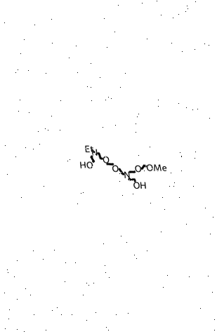 CCN(CCO)CCOCCOCCN(CCO)CCOCCOC